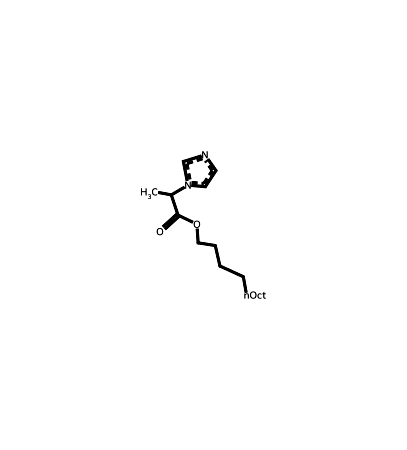 CCCCCCCCCCCCOC(=O)C(C)n1ccnc1